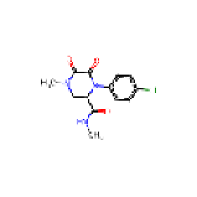 CNC(=O)C1CN(C)C(=O)C(=O)N1c1ccc(Cl)cc1